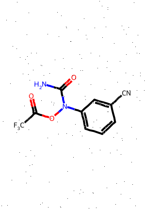 N#Cc1cccc(N(OC(=O)C(F)(F)F)C(N)=O)c1